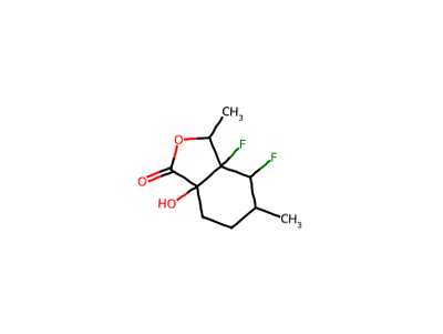 CC1CCC2(O)C(=O)OC(C)C2(F)C1F